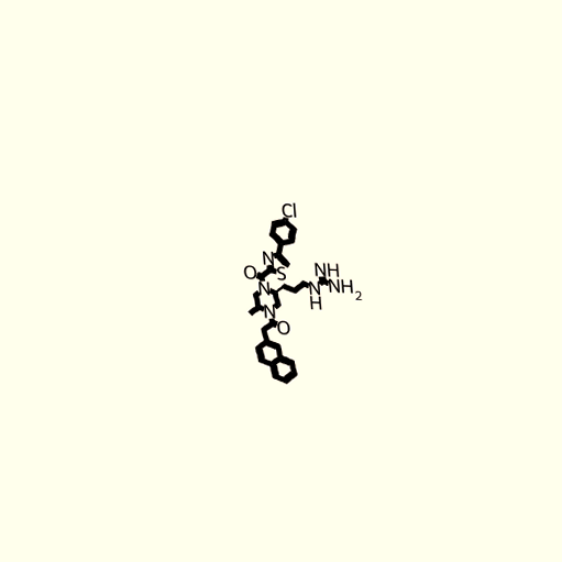 CC1CN(C(=O)c2nc(-c3ccc(Cl)cc3)cs2)[C@@H](CCCNC(=N)N)CN1C(=O)Cc1ccc2ccccc2c1